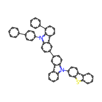 c1ccc(-c2ccc(-n3c4ccc(-c5ccc6c(c5)c5ccccc5n6-c5ccc6c(c5)sc5ccccc56)cc4c4cccc(-c5ccccc5)c43)cc2)cc1